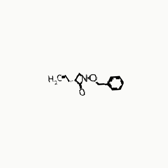 C=CC[C@@H]1CN(OCc2ccccc2)C1=O